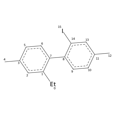 CCc1cc(C)ccc1-c1ccc(C)cc1I